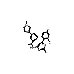 Cc1nc(NC(C)c2cccc(-c3cnn(C)c3)c2)cc(-c2ccc(Cl)cc2Cl)n1